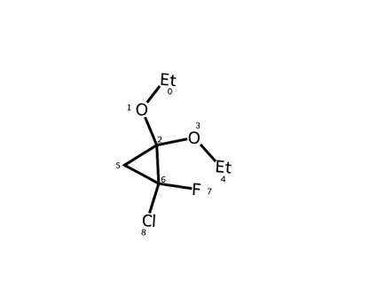 CCOC1(OCC)CC1(F)Cl